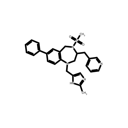 Cc1ncc(CN2CC(Cc3cccnc3)N(S(C)(=O)=O)Cc3cc(-c4ccccc4)ccc32)[nH]1